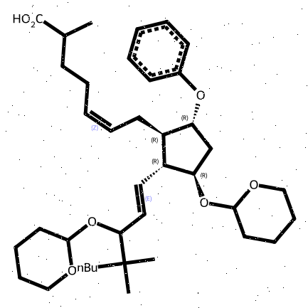 CCCCC(C)(C)C(/C=C/[C@@H]1[C@@H](C/C=C\CCC(C)C(=O)O)[C@H](Oc2ccccc2)C[C@H]1OC1CCCCO1)OC1CCCCO1